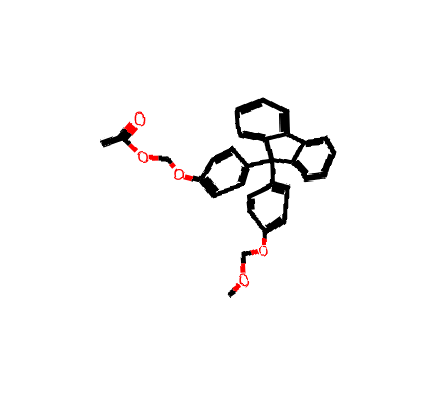 COCOc1ccc(C2(c3ccc(OCOC(C)=O)cc3)c3ccccc3-c3ccccc32)cc1